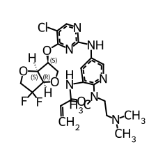 C=CC(=O)Nc1cc(Nc2ncc(Cl)c(O[C@H]3CO[C@@H]4[C@H]3OCC4(F)F)n2)cnc1N(C)CCN(C)C